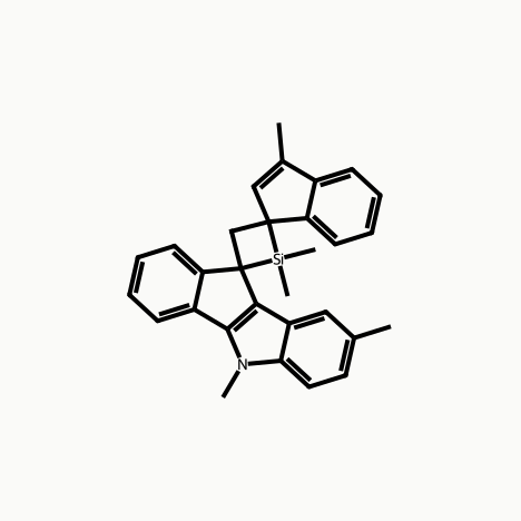 CC1=CC2(CC3(c4ccccc4-c4c3c3cc(C)ccc3n4C)[Si]2(C)C)c2ccccc21